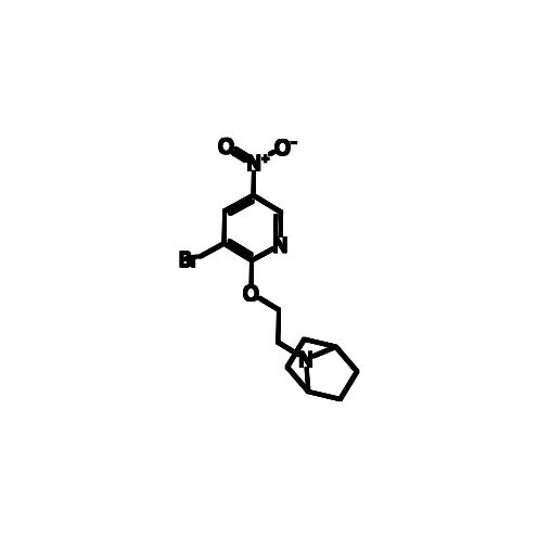 O=[N+]([O-])c1cnc(OCCN2C3CCC2CC3)c(Br)c1